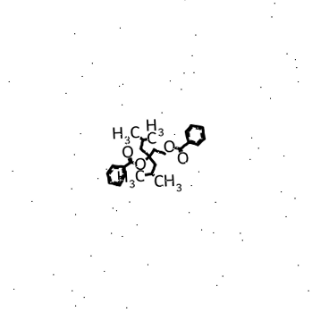 CC(C)CC(CCOC(=O)c1ccccc1)(CC(C)C)OC(=O)c1ccccc1